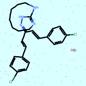 Br.Clc1ccc(C=CC(C=Cc2ccc(Cl)cc2)=NN/C2=N\CCCCCCCN2)cc1